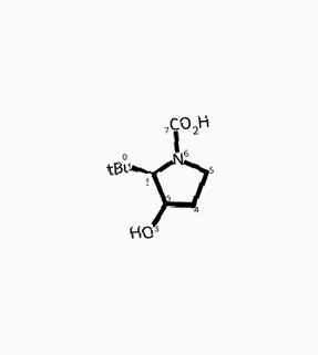 CC(C)(C)[C@@H]1C(O)CCN1C(=O)O